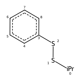 CC(C)SSc1ccccc1